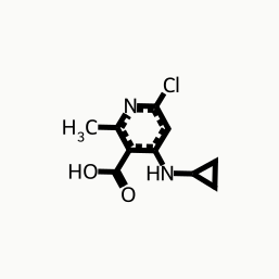 Cc1nc(Cl)cc(NC2CC2)c1C(=O)O